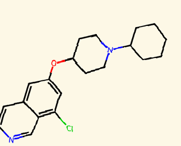 Clc1cc(OC2CCN(C3CCCCC3)CC2)cc2ccncc12